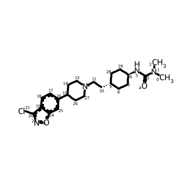 CN(C)C(=O)N[C@H]1CC[C@H](CCN2CCC(c3ccc4c(Cl)noc4c3)CC2)CC1